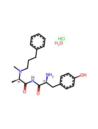 C[C@H](C(=O)NC(=O)[C@@H](N)Cc1ccc(O)cc1)N(C)CCCc1ccccc1.Cl.O